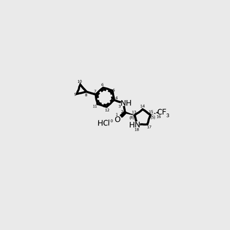 Cl.O=C(Nc1ccc(C2CC2)cc1)[C@H]1C[C@H](C(F)(F)F)CN1